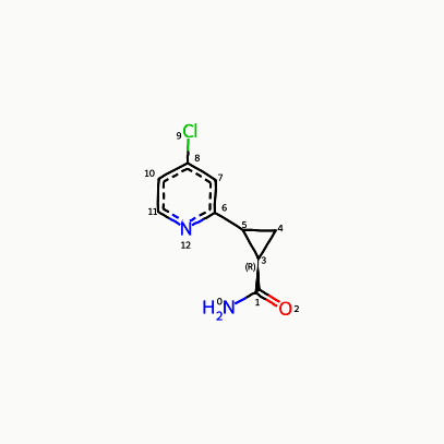 NC(=O)[C@@H]1CC1c1cc(Cl)ccn1